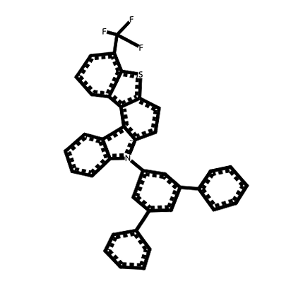 FC(F)(F)c1cccc2c1sc1ccc3c(c4ccccc4n3-c3cc(-c4ccccc4)cc(-c4ccccc4)c3)c12